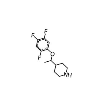 CC(Oc1cc(F)c(F)cc1F)C1CCNCC1